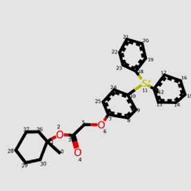 CC1(OC(=O)COc2ccc([S+](c3ccccc3)c3ccccc3)cc2)CCCCC1